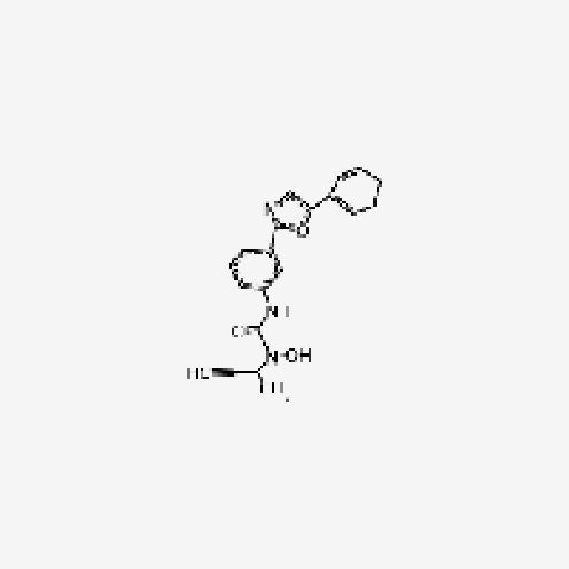 C#CC(C)N(O)C(=O)Nc1cccc(-c2ncc(C3=CCCC=C3)o2)c1